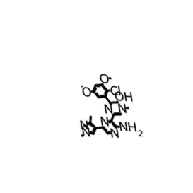 COc1cc(OC)c(Cl)c(C2=NC(c3nc(-c4cn(C)nc4C)cnc3N)=CN(C)C2O)c1